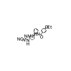 CCOc1ccc(C(=O)NC[C@]2(c3ccccc3)CC[C@H](N/C(=N/C#N)NC)CC2)cc1